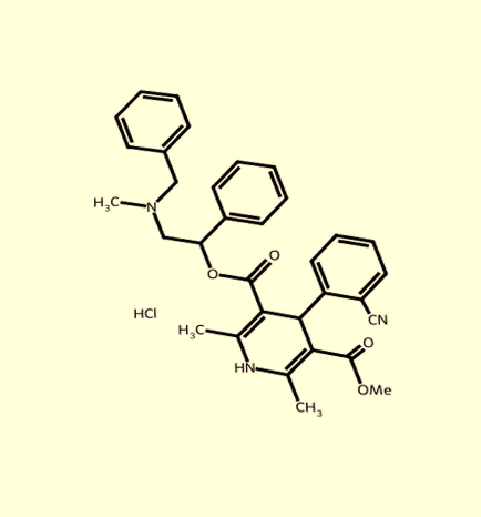 COC(=O)C1=C(C)NC(C)=C(C(=O)OC(CN(C)Cc2ccccc2)c2ccccc2)C1c1ccccc1C#N.Cl